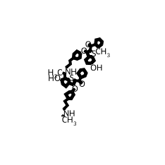 CCNCCCc1ccc(Oc2c(C(=O)c3ccccc3)sc3c(C(C)NCCCc4ccc(Oc5c(C(=O)c6ccccc6C)sc6cc(O)ccc56)cc4)c(O)ccc23)cc1